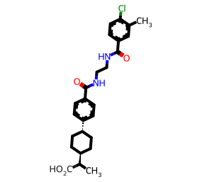 Cc1cc(C(=O)NCCNC(=O)c2ccc([C@H]3CC[C@H](C(C)C(=O)O)CC3)cc2)ccc1Cl